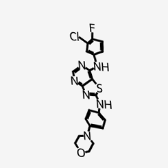 Fc1ccc(Nc2ncnc3nc(Nc4ccc(N5CCOCC5)cc4)sc23)cc1Cl